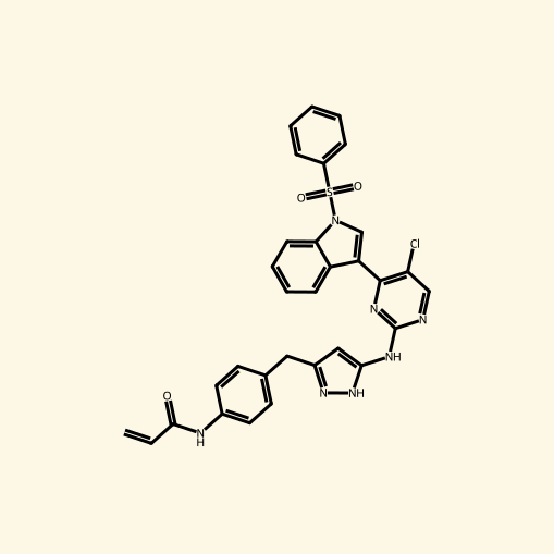 C=CC(=O)Nc1ccc(Cc2cc(Nc3ncc(Cl)c(-c4cn(S(=O)(=O)c5ccccc5)c5ccccc45)n3)[nH]n2)cc1